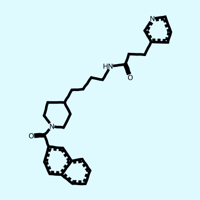 O=C(CCc1cccnc1)NCCCCC1CCN(C(=O)c2ccc3ccccc3c2)CC1